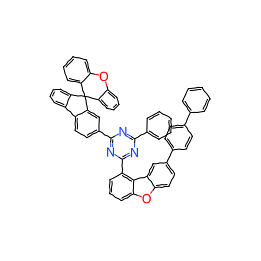 c1ccc(-c2ccc(-c3ccc4oc5cccc(-c6nc(-c7ccccc7)nc(-c7ccc8c(c7)C7(c9ccccc9Oc9ccccc97)c7ccccc7-8)n6)c5c4c3)cc2)cc1